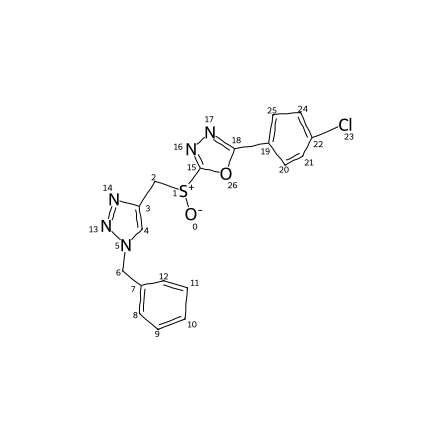 [O-][S+](Cc1cn(Cc2ccccc2)nn1)c1nnc(-c2ccc(Cl)cc2)o1